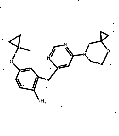 CC1(Oc2ccc(N)c(Cc3cc(N4CCOC5(CC5)C4)ncn3)c2)CC1